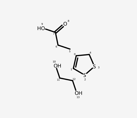 C1=CSSC1.CCC(=O)O.OCCO